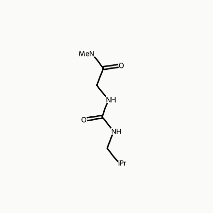 CNC(=O)CNC(=O)NCC(C)C